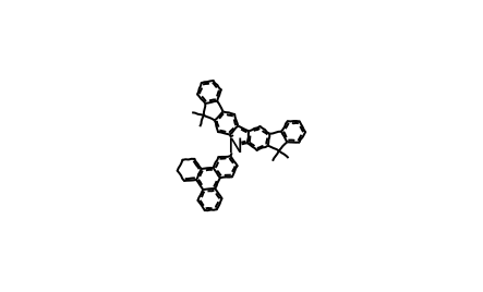 CC1(C)c2ccccc2-c2cc3c4cc5c(cc4n(-c4ccc6c(c4)c4c(c7ccccc76)=CCCC=4)c3cc21)C(C)(C)c1ccccc1-5